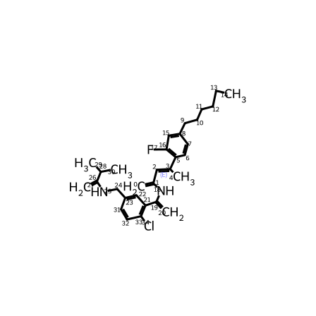 C=C(/C=C(\C)c1ccc(CCCCCC)cc1F)NC(=C)c1cc(CNC(=C)C(C)C)ccc1Cl